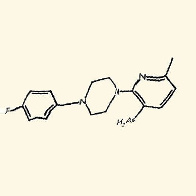 Cc1ccc([AsH2])c(N2CCN(c3ccc(F)cc3)CC2)n1